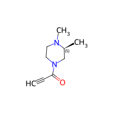 C#CC(=O)N1CCN(C)[C@@H](C)C1